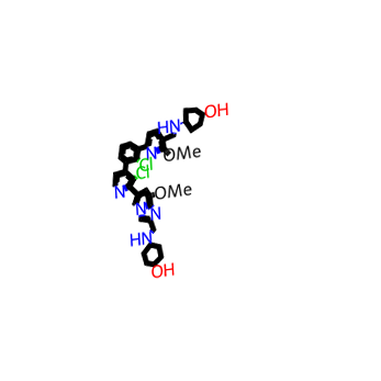 COc1nc(-c2cccc(-c3ccnc(-c4cc(OC)c5nc(CN[C@H]6CC[C@@H](O)CC6)cn5c4)c3Cl)c2Cl)ccc1CN[C@H]1CC[C@@H](O)CC1